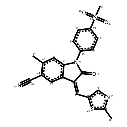 Cc1ncc(/C=C2\C(=O)N(c3ccc(S(C)(=O)=O)cc3)c3cc(C)c(C#N)cc32)s1